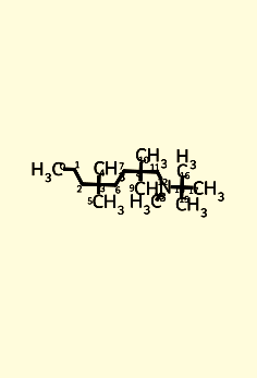 CCCC(C)(C)CCC(C)(C)CN(C)C(C)(C)C